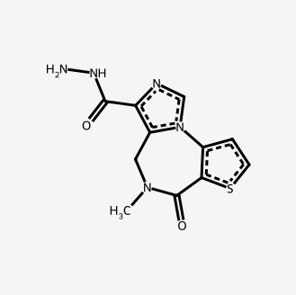 CN1Cc2c(C(=O)NN)ncn2-c2ccsc2C1=O